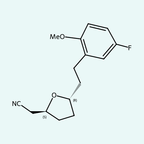 COc1ccc(F)cc1CC[C@@H]1CC[C@@H](CC#N)O1